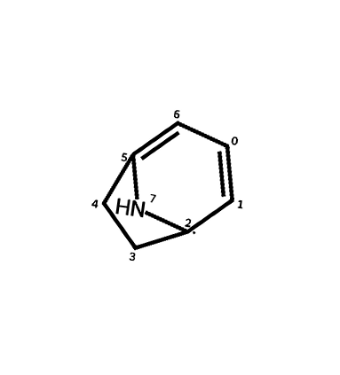 C1=C[C]2CCC(=C1)N2